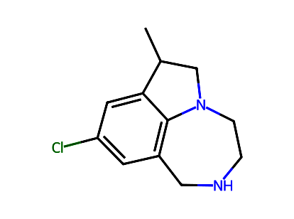 CC1CN2CCNCc3cc(Cl)cc1c32